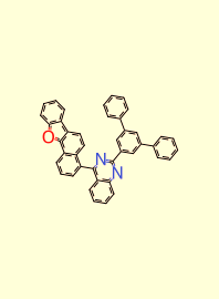 c1ccc(-c2cc(-c3ccccc3)cc(-c3nc(-c4cccc5c4ccc4c6ccccc6oc54)c4ccccc4n3)c2)cc1